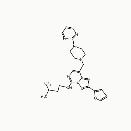 CC(C)CCNc1ncc(CN2CCN(c3ncccn3)CC2)c2nc(-c3ccco3)nn12